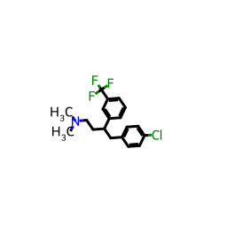 CN(C)CCC(Cc1ccc(Cl)cc1)c1cccc(C(F)(F)F)c1